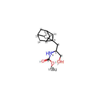 CC(C)(C)OC(=O)NC(CO)CC12CC3CC(CC1C3)C2